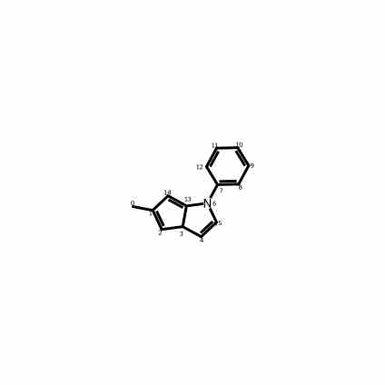 CC1=CC2C=[C]N(c3ccccc3)C2=C1